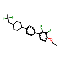 CCOc1ccc(-c2ccc(C3CCC(CC(C)(F)F)CC3)cc2)c(F)c1F